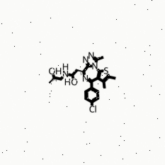 Cc1sc2c(c1C)C(c1ccc(Cl)cc1)=N[C@@H](CC(O)NC[C@@H](C)O)c1nnc(C)n1-2